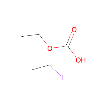 CCI.CCOC(=O)O